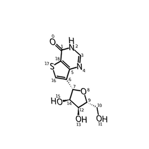 O=c1[nH]cnc2c([C@@H]3O[C@H](CO)[C@@H](O)[C@H]3O)csc12